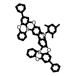 Cc1cc(C)c(-n2c3cc4c(cc3c3cc5c(cc32)Oc2cc(-c3ccccc3)cc3c2B5c2ccccc2O3)B2c3ccccc3Oc3cc(-c5ccccc5)cc(c32)O4)c(C)c1